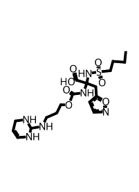 CCCCS(=O)(=O)NC(Cc1ccno1)(NC(=O)OCCCNC1NC=CCN1)C(=O)O